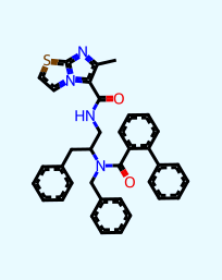 Cc1nc2sccn2c1C(=O)NCC(Cc1ccccc1)N(Cc1ccccc1)C(=O)c1ccccc1-c1ccccc1